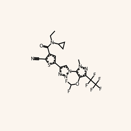 CCN(C(=O)c1cc(-c2cn(-c3c(OC(F)F)c(C(F)(F)C(F)(F)F)nn3C)nn2)sc1C#N)C1CC1